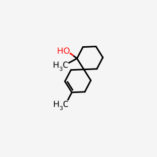 CC1=CCC2(CCCCC2(C)O)CC1